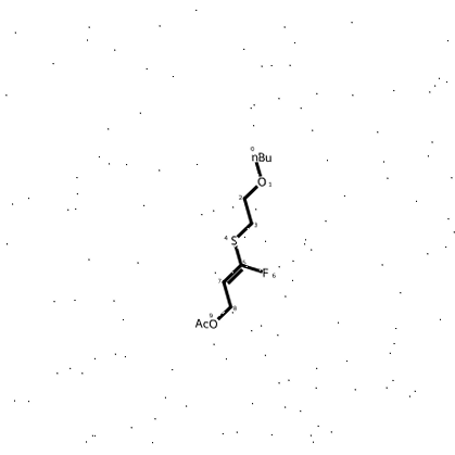 CCCCOCCSC(F)=CCOC(C)=O